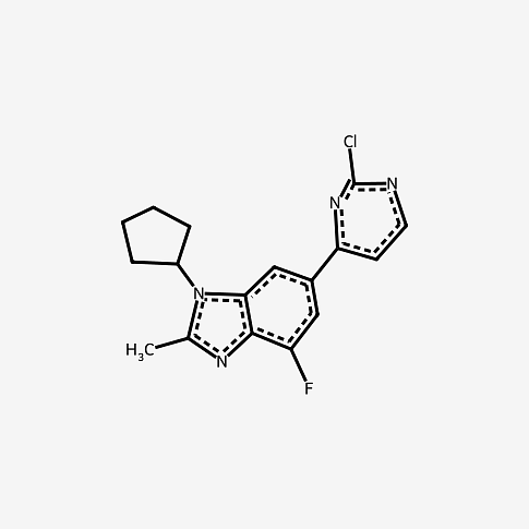 Cc1nc2c(F)cc(-c3ccnc(Cl)n3)cc2n1C1CCCC1